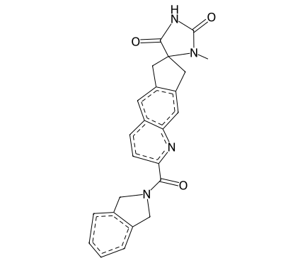 CN1C(=O)NC(=O)C12Cc1cc3ccc(C(=O)N4Cc5ccccc5C4)nc3cc1C2